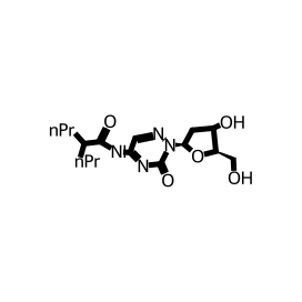 CCCC(CCC)C(=O)Nc1cnn([C@H]2CC(O)[C@@H](CO)O2)c(=O)n1